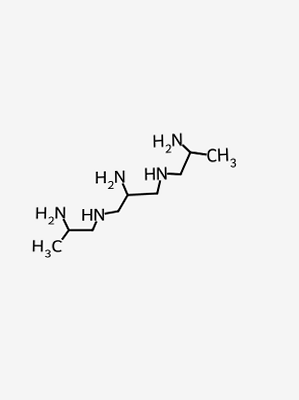 CC(N)CNCC(N)CNCC(C)N